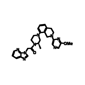 COc1cncc(N2CCc3cccc(N4CCN(C(=O)Cn5cnc6cccnc65)[C@H](C)C4)c3C2)n1